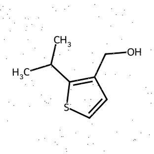 CC(C)c1sccc1CO